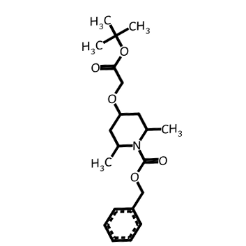 CC1CC(OCC(=O)OC(C)(C)C)CC(C)N1C(=O)OCc1ccccc1